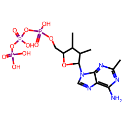 Cc1nc(N)c2ncn(C3OC(COP(=O)(O)OP(=O)(O)OP(=O)(O)O)C(C)C3C)c2n1